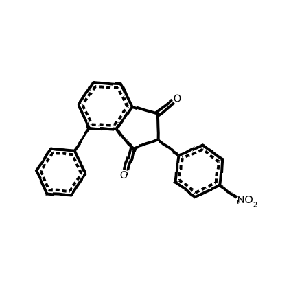 O=C1c2cccc(-c3ccccc3)c2C(=O)C1c1ccc([N+](=O)[O-])cc1